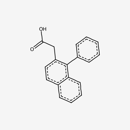 O=C(O)Cc1ccc2ccccc2c1-c1ccccc1